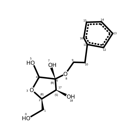 OC[C@H]1O[C](O)[C@](O)(OCCc2ccccc2)[C@H]1O